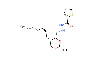 C[C@@H]1OC[C@H](C/C=C\CCCC(=O)O)[C@H](CNNC(=O)c2cccs2)O1